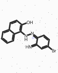 N=C1C=C(Br)C=C/C1=N/Nc1c(O)ccc2ccccc12